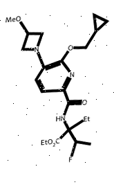 CCOC(=O)C(CC)(NC(=O)c1ccc(N2CC(OC)C2)c(OCC2CC2)n1)C(C)F